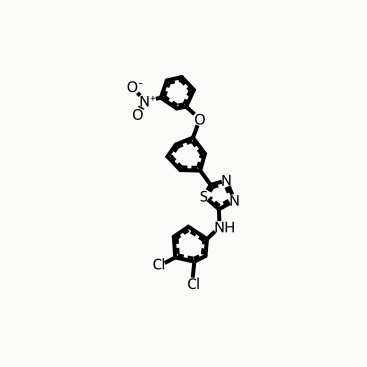 O=[N+]([O-])c1cccc(Oc2cccc(-c3nnc(Nc4ccc(Cl)c(Cl)c4)s3)c2)c1